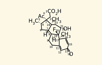 CC(=O)[C@@]1(CC(=O)O)[C@@H](C)C[C@H]2[C@@H]3CCC4=CC(=O)C=C[C@]4(C)[C@@]3(F)[C@@H](O)C[C@@]21C